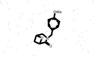 COc1ccc(CN2CC3CC(O3)C2=O)cc1